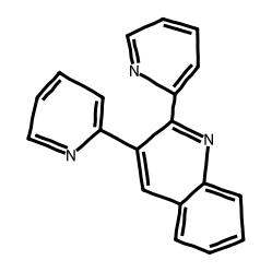 c1ccc(-c2cc3ccccc3nc2-c2ccccn2)nc1